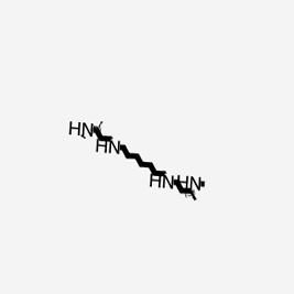 CN[C@H](C)CCNCCCCCCCNCC[C@H](C)NC